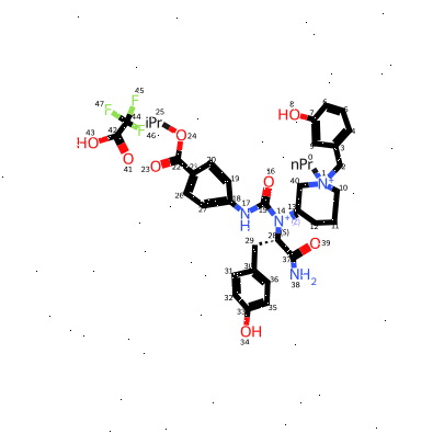 CCC[N+]1(Cc2cccc(O)c2)CCC/C(=[N+](/C(=O)Nc2ccc(C(=O)OC(C)C)cc2)[C@@H](Cc2ccc(O)cc2)C(N)=O)C1.O=C(O)C(F)(F)F